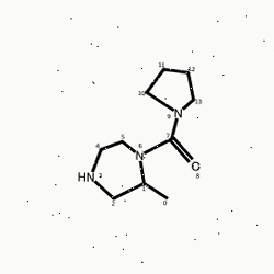 CC1CNCCN1C(=O)N1CCCC1